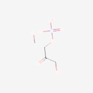 O=C(CO)[C@H](CO)OP(=O)(O)O